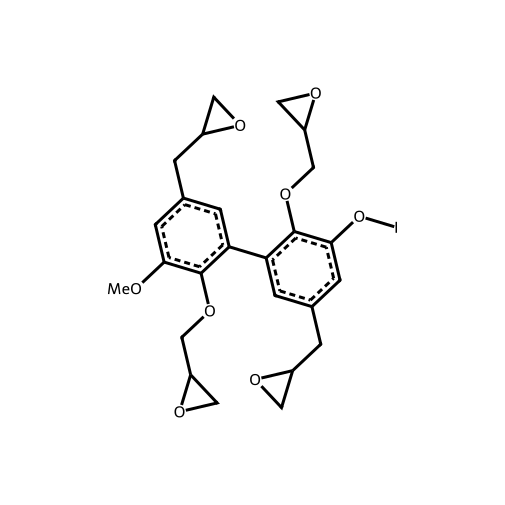 COc1cc(CC2CO2)cc(-c2cc(CC3CO3)cc(OI)c2OCC2CO2)c1OCC1CO1